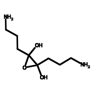 NCCCC1(O)OC1(O)CCCN